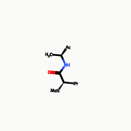 CN[C@H](C(=O)N[C@@H](C)C(C)=O)C(C)C